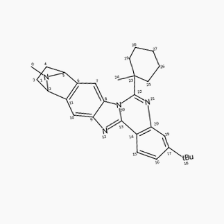 CN1C2CCC1c1cc3c(cc12)nc1c2ccc(C(C)(C)C)cc2nc(C2(C)CCCCC2)n31